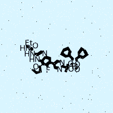 CCNC(=O)NC1=C=Nc2cc(-c3cnc(C(C)(C)OP(=O)(OCc4ccccc4)OCc4ccccc4)nc3)c(F)c([C@H]3CCCO3)c2N1